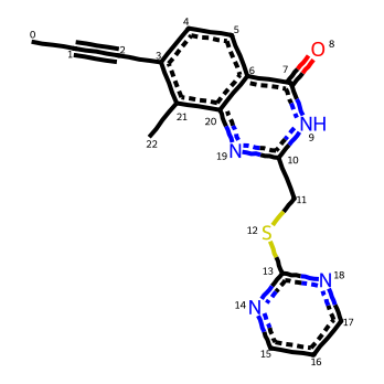 CC#Cc1ccc2c(=O)[nH]c(CSc3ncccn3)nc2c1C